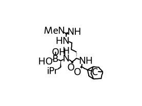 CNC(=N)NCCC[C@H](NC(=O)C12CC3CC(CC1C3)C2)C(=O)N[C@@H](CC(C)C)B(O)O